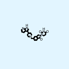 O=C1CCN(N2Cc3cc(CN4CC=C(c5c[nH]c6ncccc56)CC4)ccc3C2=O)C(=O)N1